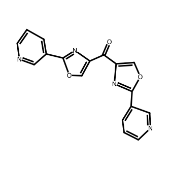 O=C(c1coc(-c2cccnc2)n1)c1coc(-c2cccnc2)n1